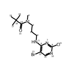 CN(CCCNc1nc(Cl)ncc1Br)C(=O)C(C)(C)C